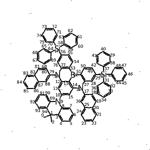 CC1(C)c2ccccc2N(c2cc3c4c(c2)N(c2ccc5ccccc5c2)c2cc([Si](c5ccccc5)(c5ccccc5)c5ccccc5)ccc2B4c2ccc([Si](c4ccccc4)(c4ccccc4)c4ccccc4)cc2N3c2ccc3ccccc3c2)c2ccccc21